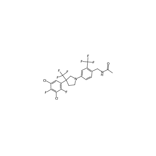 CC(=O)NCc1ccc(N2CCC(c3cc(Cl)c(F)c(Cl)c3F)(C(F)(F)F)C2)cc1C(F)(F)F